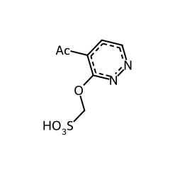 CC(=O)c1ccnnc1OCS(=O)(=O)O